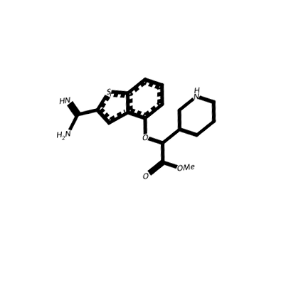 COC(=O)C(Oc1cccc2sc(C(=N)N)cc12)C1CCCNC1